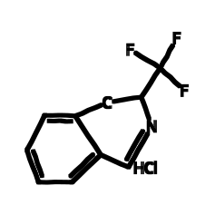 Cl.FC(F)(F)C1Cc2ccccc2C=N1